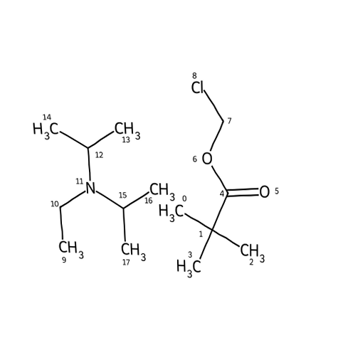 CC(C)(C)C(=O)OCCl.CCN(C(C)C)C(C)C